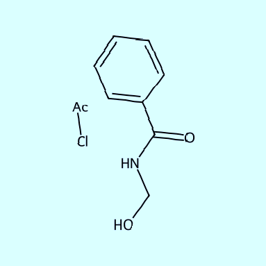 CC(=O)Cl.O=C(NCO)c1ccccc1